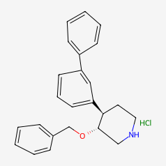 Cl.c1ccc(CO[C@H]2CNCC[C@@H]2c2cccc(-c3ccccc3)c2)cc1